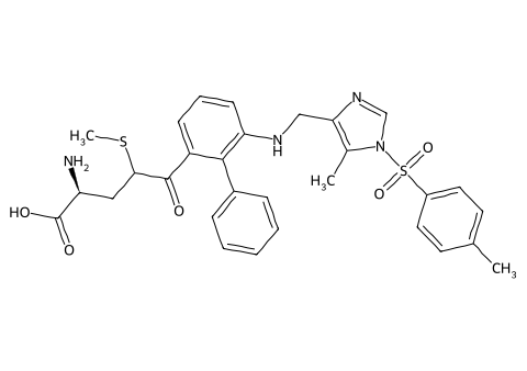 CSC(C[C@H](N)C(=O)O)C(=O)c1cccc(NCc2ncn(S(=O)(=O)c3ccc(C)cc3)c2C)c1-c1ccccc1